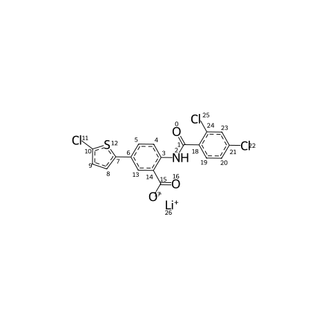 O=C(Nc1ccc(-c2ccc(Cl)s2)cc1C(=O)[O-])c1ccc(Cl)cc1Cl.[Li+]